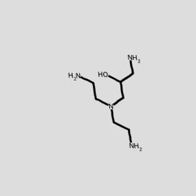 NCCN(CCN)CC(O)CN